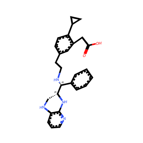 O=C(O)Cc1cc(CCN[C@H](c2ccccc2)[C@H]2CNc3cccnc3N2)ccc1C1CC1